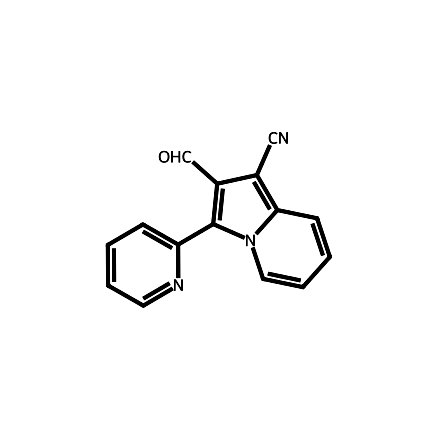 N#Cc1c(C=O)c(-c2ccccn2)n2ccccc12